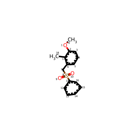 COc1cccc(CS(=O)(=O)c2ccccc2)c1C